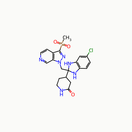 CS(=O)(=O)c1nn(CC2(C3CCNC(=O)C3)Nc3ccc(Cl)cc3N2)c2cnccc12